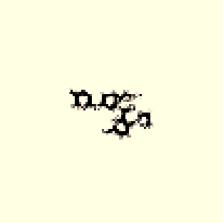 Cc1ccc(OC2CC3CC2N(C(=O)c2nc(C)ccc2-n2nccn2)C3CC(C)C)nc1